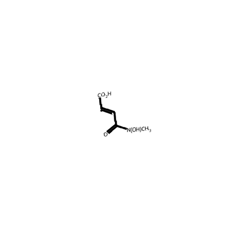 CN(O)C(=O)C=CC(=O)O